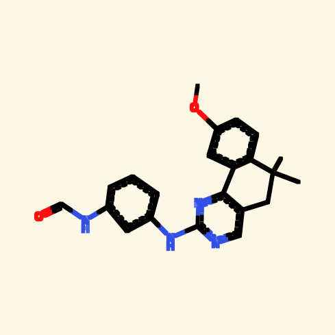 COc1ccc2c(c1)-c1nc(Nc3cccc(NC=O)c3)ncc1CC2(C)C